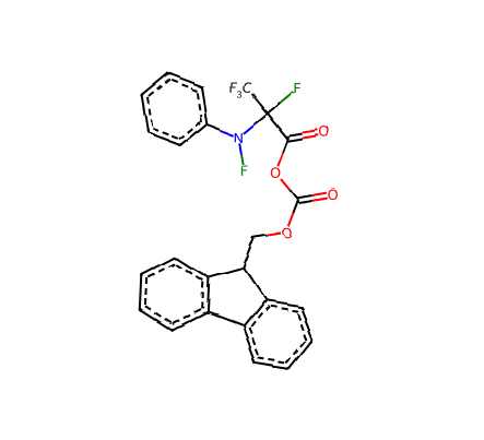 O=C(OCC1c2ccccc2-c2ccccc21)OC(=O)C(F)(N(F)c1ccccc1)C(F)(F)F